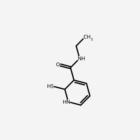 CCNC(=O)C1=CC=CNC1S